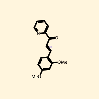 COc1ccc(/C=C/C(=O)c2ccccn2)c(OC)c1